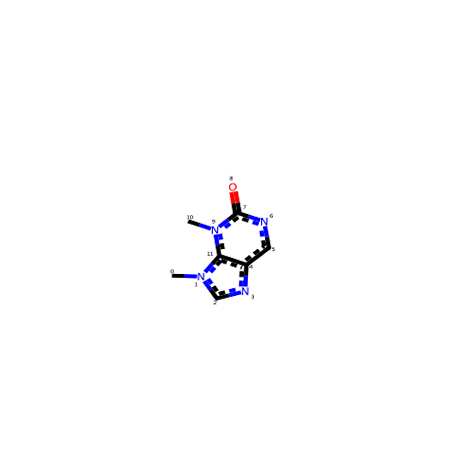 Cn1cnc2cnc(=O)n(C)c21